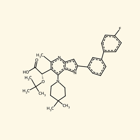 Cc1nc2cc(-c3cccc(-c4ccc(F)cc4)c3)nn2c(N2CCC(C)(C)CC2)c1[C@H](OC(C)(C)C)C(=O)O